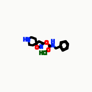 Cl.O=C(NCc1ccccc1)OC1=NOC2(CCNCC2)C1